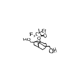 CCC(C)(C(=O)OC12CC3CC(CO)(CC(CO)(C3)C1)C2)C(F)(F)F